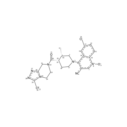 C[C@@H]1CN(c2c(C#N)c[n+]([O-])c3ccc(Cl)cc23)CC[C@@H]1C(=O)N1CCn2c(nnc2C(F)(F)F)C1